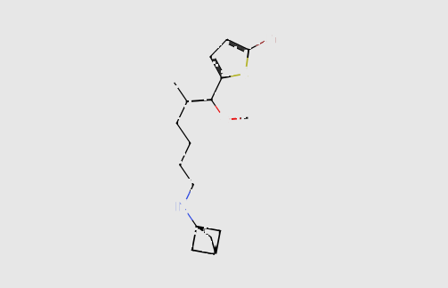 COC(c1ccc(Br)s1)C(C)CCCCNC12CC(C1)C2